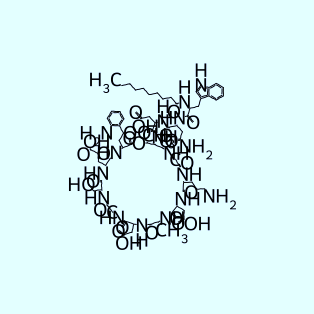 CCCCCCCCCC(=O)NC(Cc1c[nH]c2ccccc12)C(=O)NC(CC(N)=O)C(=O)NC(CC(=O)O)C(=O)NC1C(=O)NCC(=O)NC(CCCN)C(=O)NC(CC(=O)O)C(=O)NC(C)C(=O)NC(CC(=O)O)C(=O)NCC(=O)NC(CO)C(=O)NC(CCC(=O)O)C(=O)NC(CC(=O)c2ccccc2N)C(=O)OC1C